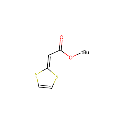 CC(C)(C)OC(=O)C=C1SC=CS1